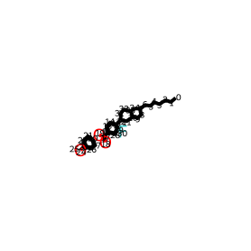 CCCCCCCC1CCC2CC(c3ccc(C(=O)Oc4ccc(OC)cc4)cc3F)CCC2C1